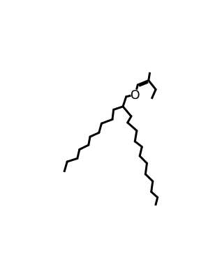 CCCCCCCCCCCCC(CCCCCCCCCC)CO/C=C(/C)CC